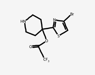 O=C(OC1(c2nc(Br)cs2)CCNCC1)C(F)(F)F